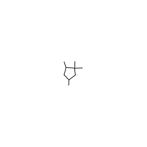 CC1[CH]C(C)(C)C(C)C1